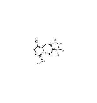 COc1ccc(Cl)c(CN2OCC(C)(C)C2=O)c1